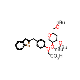 CCCCOC[C@@H]1C[C@H](OCCCC)[C@@H](OCCCC)[C@H](c2cc(Cc3cc4ccccc4s3)ccc2OCC(=O)O)O1